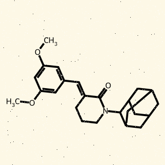 COc1cc(/C=C2\CCCN(C3C4CC5CC(C4)CC3C5)C2=O)cc(OC)c1